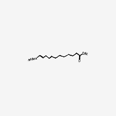 CCCCCCC=CCCCCCCCCCC(=O)OC(C)=O